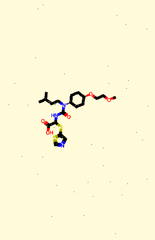 COCCO[C@H]1CC[C@H](N(CCC(C)C)C(=O)NC(Sc2cncs2)C(=O)O)CC1